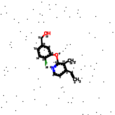 C=Cc1ccnc(Oc2cc(CO)ccc2F)c1C